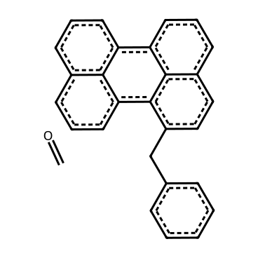 C=O.c1ccc(Cc2ccc3cccc4c5cccc6cccc(c2c34)c65)cc1